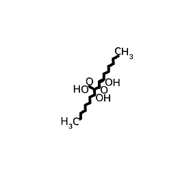 CCCCCCCC(O)=CC(=O)C(C(=O)O)C(O)CCCCCCC